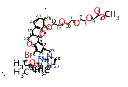 COC(=O)COCCOCCOCCOc1cc(CC2COc3c(Br)cc(Cn4ccn(C)c4=NC(=O)OC(C)(C)C)cc3C2=O)ccc1F